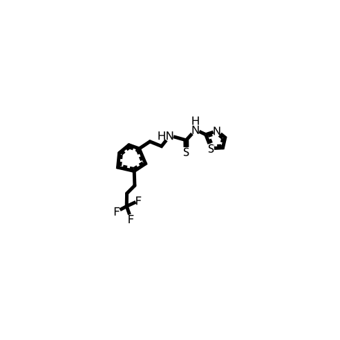 FC(F)(F)CCc1cccc(CCNC(=S)Nc2nccs2)c1